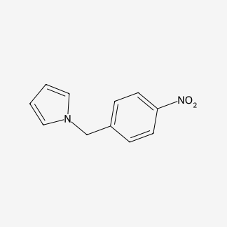 O=[N+]([O-])c1ccc(Cn2cccc2)cc1